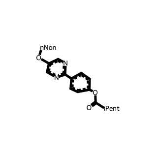 CCCCCCCCCOc1cnc(-c2ccc(OC(=O)C(C)CCC)cc2)nc1